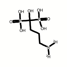 [2H]N([2H])CCCC(O)(P(=O)(O)O)P(=O)(O)O